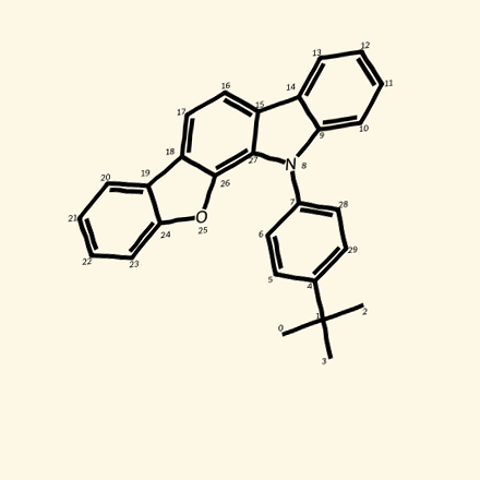 CC(C)(C)c1ccc(-n2c3ccccc3c3ccc4c5ccccc5oc4c32)cc1